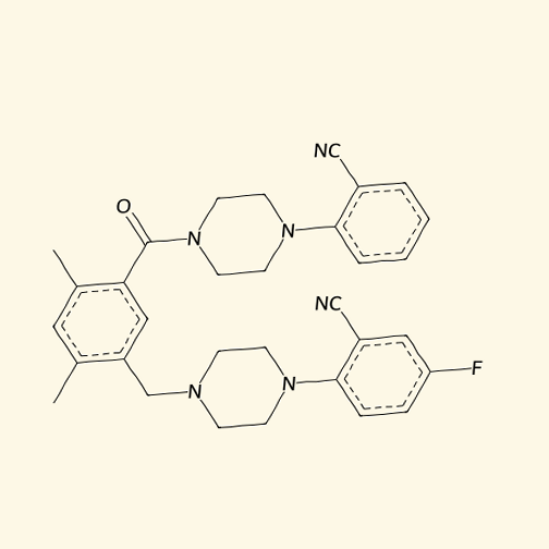 Cc1cc(C)c(C(=O)N2CCN(c3ccccc3C#N)CC2)cc1CN1CCN(c2ccc(F)cc2C#N)CC1